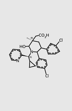 C[C@]1(CC(=O)O)CC(c2cccc(Cl)c2)C(c2ccc(Cl)cc2)N([C@H](c2ccccn2)C2CC2)C1O